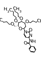 CCCCOC[C@H]1O[C@H](n2ccc(NC(=O)c3ccccc3)nc2=O)C[C@H](OCCCC)[C@@H](OCCCC)[C@H]1OCCCC